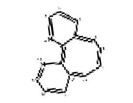 C1=C\C=c2\cccn\c2=c2/nccc/c2=C/1